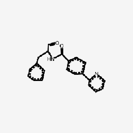 O=CC(Cc1ccccc1)NC(=O)c1ccc(-c2ccccn2)cc1